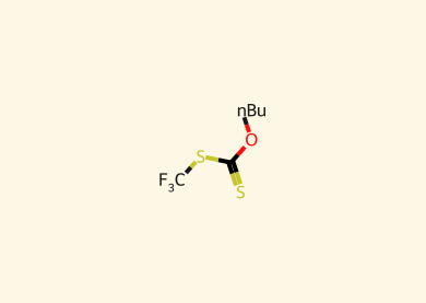 CCCCOC(=S)SC(F)(F)F